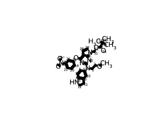 COCCN(c1ccc2c(c1)CCN2)c1nc(Oc2cccc([N+](=O)[O-])c2)c2ccn(COC(=O)C(C)(C)C)c2n1